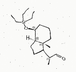 CC[Si](CC)(CC)O[C@H]1CCC[C@]2(C)C([C@H](C)C=O)CC[C@@H]12